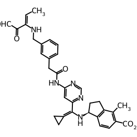 C/C=C(\NCc1cccc(CC(=O)Nc2cc(C(N[C@H]3CCc4c3ccc(C(=O)O)c4C)=C3CC3)ncn2)c1)C(=O)C=O